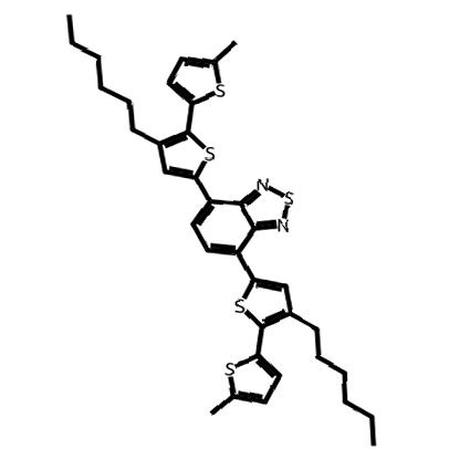 CCCCCCc1cc(-c2ccc(-c3cc(CCCCCC)c(-c4ccc(C)s4)s3)c3nsnc23)sc1-c1ccc(C)s1